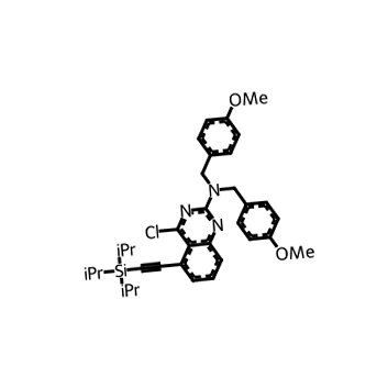 COc1ccc(CN(Cc2ccc(OC)cc2)c2nc(Cl)c3c(C#C[Si](C(C)C)(C(C)C)C(C)C)cccc3n2)cc1